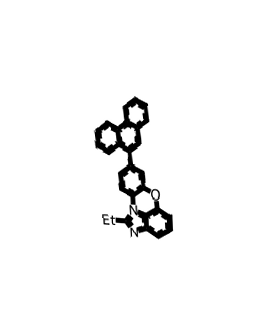 CCc1nc2cccc3c2n1-c1ccc(-c2cc4ccccc4c4ccccc24)cc1O3